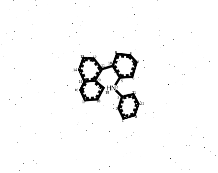 c1ccc(Nc2ccccc2-c2cccc3ccccc23)cc1